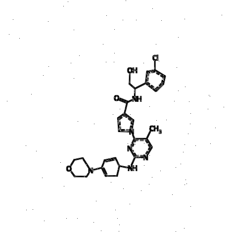 Cc1cnc(NC2C=CC(N3CCOCC3)=CC2)nc1-n1ccc(C(=O)NC(CO)c2cccc(Cl)c2)c1